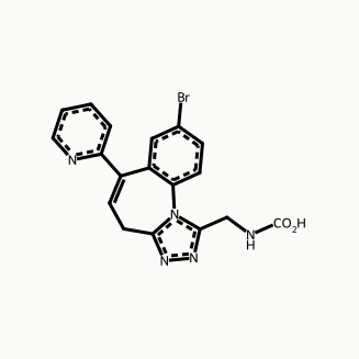 O=C(O)NCc1nnc2n1-c1ccc(Br)cc1C(c1ccccn1)=CC2